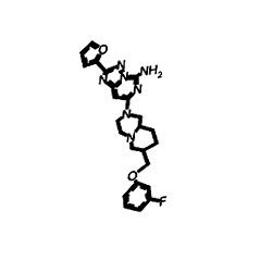 Nc1nc(N2CCN3CC(COc4cccc(F)c4)CCC3C2)cc2nc(-c3ccco3)nn12